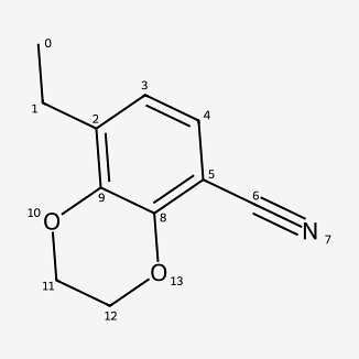 CCc1ccc(C#N)c2c1OCCO2